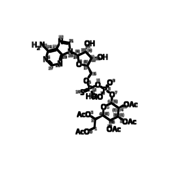 CC(=O)OCC(OC(C)=O)[C@H]1O[C@@H](OP(=O)(O)OP(O)(=S)OC[C@H]2O[C@@H](n3cnc4c(N)ncnc43)[C@H](O)[C@@H]2O)[C@@H](OC(C)=O)[C@@H](OC(C)=O)[C@@H]1OC(C)=O